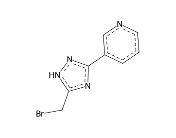 BrCc1nc(-c2cccnc2)n[nH]1